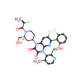 C=C(F)C(=O)N1CCC(n2c(=O)c(=O)n(-c3c(C)ccnc3C(C)C)c3nc(-c4c(O)cccc4F)c(F)cc32)C[C@H]1CO